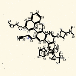 CCc1nc2c(N3CC(N(C)C)C3)nc3c(F)c(-c4cc(OCOC)cc5ccccc45)c(/C=C/C#N)cc3c2n1C1C2CC1N(C(=O)OC(C)(C)C)C2